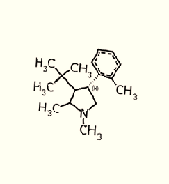 Cc1ccccc1[C@@H]1CN(C)C(C)C1C(C)(C)C